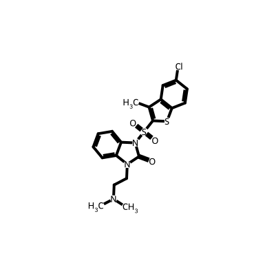 Cc1c(S(=O)(=O)n2c(=O)n(CCN(C)C)c3ccccc32)sc2ccc(Cl)cc12